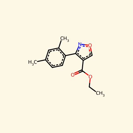 CCOC(=O)c1conc1-c1ccc(C)cc1C